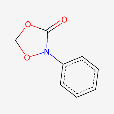 O=C1OCON1c1ccccc1